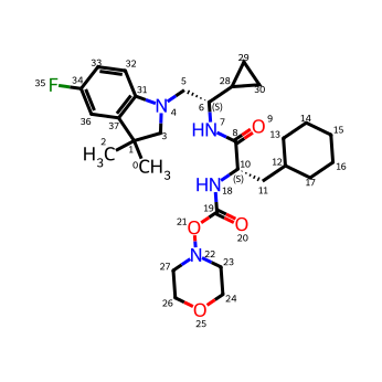 CC1(C)CN(C[C@@H](NC(=O)[C@H](CC2CCCCC2)NC(=O)ON2CCOCC2)C2CC2)c2ccc(F)cc21